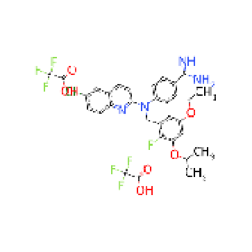 CCOc1cc(CN(c2ccc(C(=N)N)cc2)c2ccc3cc(Cl)ccc3n2)c(F)c(OC(C)C)c1.O=C(O)C(F)(F)F.O=C(O)C(F)(F)F